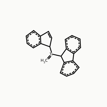 [CH2]=[Ti]([CH]1C=Cc2ccccc21)[CH]1c2ccccc2-c2ccccc21